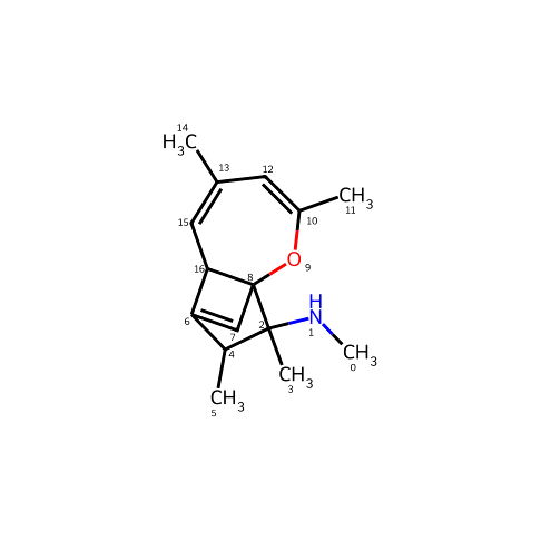 CNC1(C)C(C)C2=CC13OC(C)=CC(C)=CC23